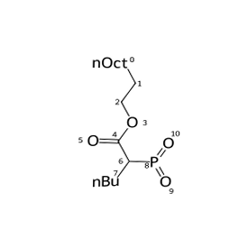 CCCCCCCCCCOC(=O)C(CCCC)P(=O)=O